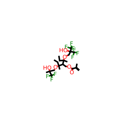 C=C(C)C(=O)OCC(C(C)(CC)OCC(C)(O)C(F)(F)F)C(C)(CC)OCC(O)(C(F)(F)F)C(F)(F)F